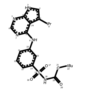 CC(C)c1c[nH]c2ncnc(Nc3cccc(S(=O)(=O)NC(=O)OC(C)(C)C)c3)c12